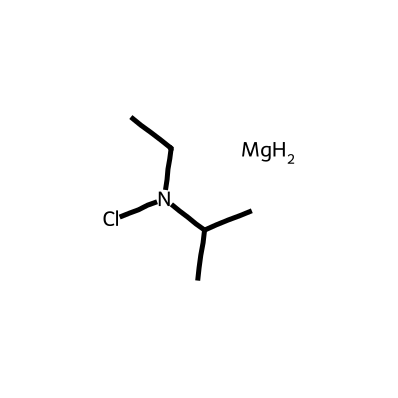 CCN(Cl)C(C)C.[MgH2]